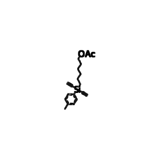 C#C[Si](C#C)(CCCCCCOC(C)=O)c1ccc(C)cc1